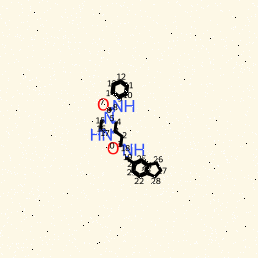 O=C(CC1CN(C(=O)Nc2ccccc2)CCN1)NCc1ccc2c(c1)CCC2